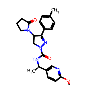 Cc1ccc(C2=NN(C(=O)N[C@H](C)c3ccc(OC(F)(F)F)nc3)CC2N2CCCC2=O)cc1